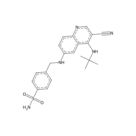 CC(C)(C)Nc1c(C#N)cnc2ccc(NCc3ccc(S(N)(=O)=O)cc3)cc12